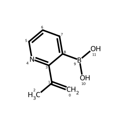 C=C(C)c1ncccc1B(O)O